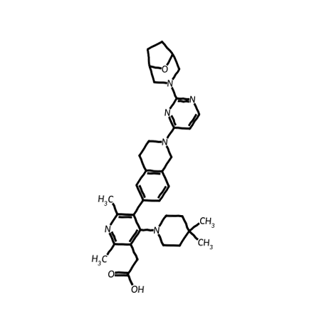 Cc1nc(C)c(-c2ccc3c(c2)CCN(c2ccnc(N4CC5CCC(C4)O5)n2)C3)c(N2CCC(C)(C)CC2)c1CC(=O)O